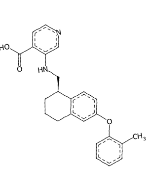 Cc1ccccc1Oc1ccc2c(c1)CCC[C@H]2CNc1cnccc1C(=O)O